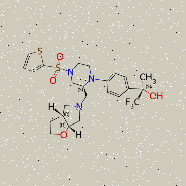 C[C@](O)(c1ccc(N2CCN(S(=O)(=O)c3cccs3)C[C@@H]2CN2C[C@H]3CCO[C@H]3C2)cc1)C(F)(F)F